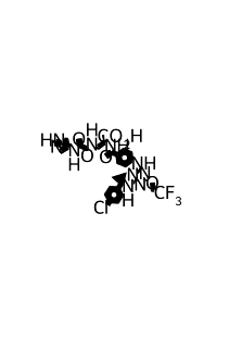 O=C(NC[C@H](NC(=O)c1ccc(Nc2nc(NC3(c4ccc(Cl)cc4)CC3)nc(OCC(F)(F)F)n2)cc1)C(=O)O)C(=O)Nc1cn[nH]c1